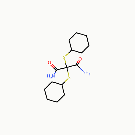 NC(=O)C(SC1CCCCC1)(SC1CCCCC1)C(N)=O